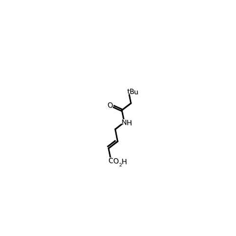 CC(C)(C)CC(=O)NCC=CC(=O)O